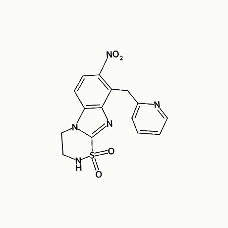 O=[N+]([O-])c1ccc2c(nc3n2CCNS3(=O)=O)c1Cc1ccccn1